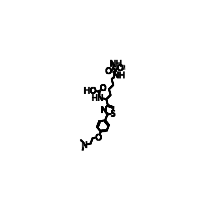 CN(C)CCOc1ccc(-c2nc(C(CCCCNS(N)(=O)=O)NC(=O)O)cs2)cc1